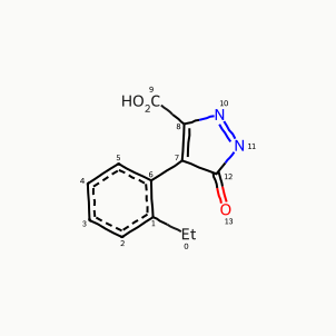 CCc1ccccc1C1=C(C(=O)O)N=NC1=O